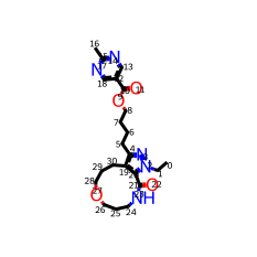 CCn1nc(CCCCOC(=O)c2cnc(C)nc2)c2c1C(=O)NCCCOCCC2